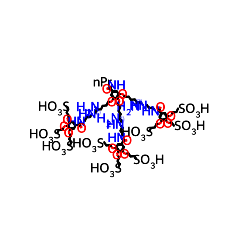 CCCNC(=O)c1cc(OCCCC/C(N)=C/NCCCNC(=O)c2cc(OCCCS(=O)(=O)O)c(OCCS(=O)(=O)O)c(OCCCS(=O)(=O)O)c2)c(OCCCC/C(N)=C/NCCCNC(=O)c2cc(OCCCS(=O)(=O)O)c(OCCCS(=O)(=O)O)c(OCCCS(=O)(=O)O)c2)c(OCCCC/C(N)=C/NCCCNC(=O)c2cc(OCCCS(=O)(=O)O)c(OCCS(=O)(=O)O)c(OCCCS(=O)(=O)O)c2)c1